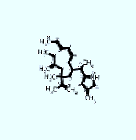 C=C(CC)CC(C)(CC(C/C=C\C=C\C)C(C)C1CC(C)CN1)C(=C)C